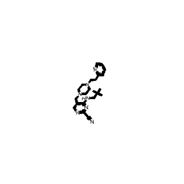 CC(C)(C)CNc1nc(C#N)ncc1CN1CCN(CCc2ccccn2)CC1